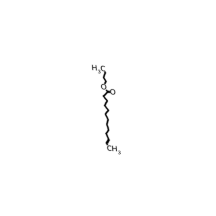 CC=CCCCCCCCCCC(=O)OCCCC